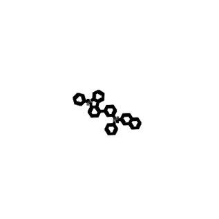 c1ccc(N(c2cccc(-c3cccc4c3c3ccccc3n4-c3ccccc3)c2)c2ccc3ccccc3c2)cc1